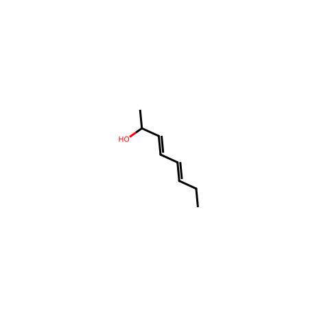 CC/C=C/C=C/C(C)O